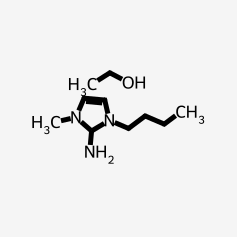 CCCCN1C=CN(C)C1N.CCO